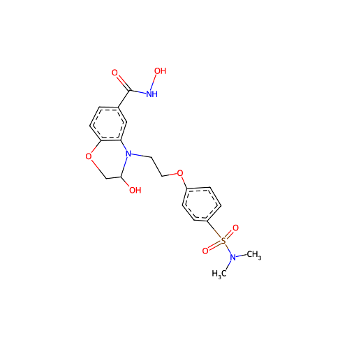 CN(C)S(=O)(=O)c1ccc(OCCN2c3cc(C(=O)NO)ccc3OCC2O)cc1